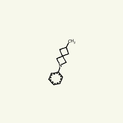 CC1CC2(C1)CN(c1ccccc1)C2